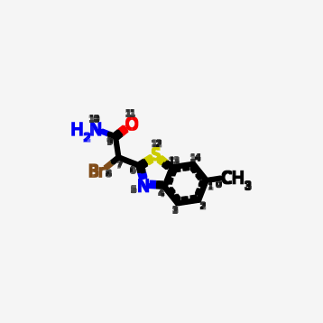 Cc1ccc2nc(C(Br)C(N)=O)sc2c1